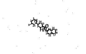 Cc1ccnc(-c2ccc(C(=O)Nc3ccc4ccccc4c3)cc2)c1